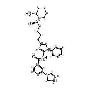 CC1CCCCN1C(=O)CCCCc1cn(-c2ccccc2)c(NC(=O)c2cccc(-c3cn[nH]c3)c2)n1